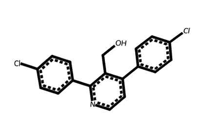 OCc1c(-c2ccc(Cl)cc2)ccnc1-c1ccc(Cl)cc1